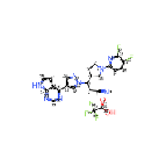 N#CCC([C@H]1CCN(c2ccc(F)c(F)n2)C1)n1cc(-c2ncnc3[nH]ccc23)cn1.O=C(O)C(F)(F)F